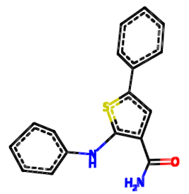 NC(=O)c1cc(-c2ccccc2)sc1Nc1ccccc1